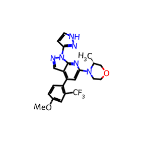 COc1ccc(-c2cc(N3CCOC[C@H]3C)nc3c2cnn3-c2cc[nH]n2)c(C(F)(F)F)c1